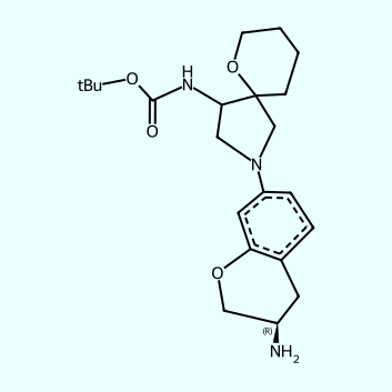 CC(C)(C)OC(=O)NC1CN(c2ccc3c(c2)OC[C@H](N)C3)CC12CCCCO2